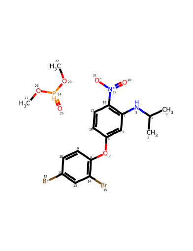 CC(C)Nc1cc(Oc2ccc(Br)cc2Br)ccc1[N+](=O)[O-].CO[PH](=O)OC